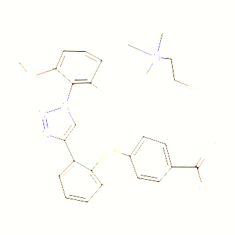 COc1cccc(F)c1-n1cc(-c2ccccc2Sc2ccc(C(=O)[O-])cc2)nn1.C[N+](C)(C)CCO